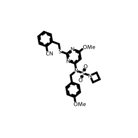 COc1ccc(CN(c2cc(OC)nc(SCc3ccccc3C#N)n2)S(=O)(=O)N2CCC2)cc1